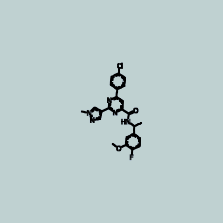 COc1cc(C(C)NC(=O)c2cc(-c3ccc(Cl)cc3)nc(-c3cnn(C)c3)n2)ccc1F